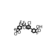 CC(c1ccc(-c2ccc(F)c(C(=O)O)c2)cc1Cl)C(O)(c1ccc2c(c1)oc(=O)n2C)C(F)(F)F